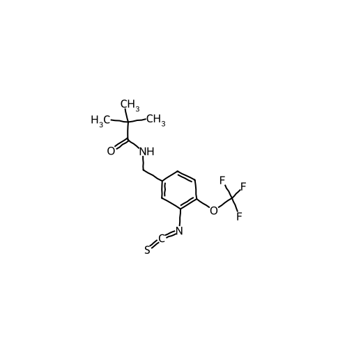 CC(C)(C)C(=O)NCc1ccc(OC(F)(F)F)c(N=C=S)c1